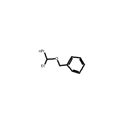 CC[CH]C(CC)OCc1ccccc1